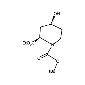 CCOC(=O)[C@H]1C[C@@H](O)CCN1C(=O)OC(C)(C)C